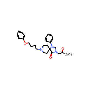 COC(=O)CN1CN(c2ccccc2)C2(CCN(CCCCOc3ccccc3)CC2)C1=O